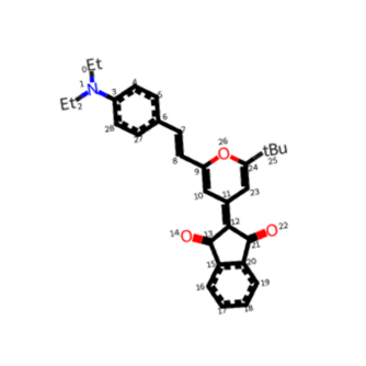 CCN(CC)c1ccc(/C=C/C2=CC(=C3C(=O)c4ccccc4C3=O)C=C(C(C)(C)C)O2)cc1